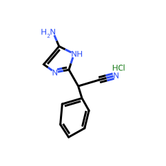 Cl.N#CC(c1ccccc1)c1ncc(N)[nH]1